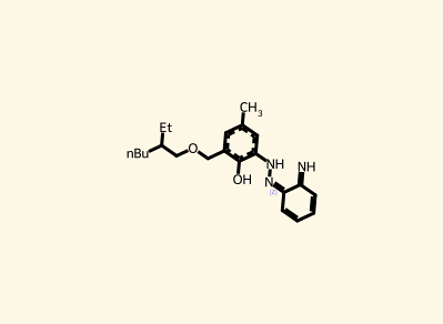 CCCCC(CC)COCc1cc(C)cc(N/N=C2/C=CC=CC2=N)c1O